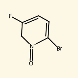 O=[N+]1CC(F)=CC=C1Br